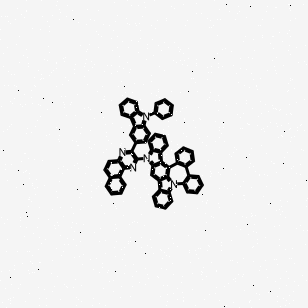 c1ccc(-n2c3ccccc3c3cc(-c4nc5ccc6ccccc6c5nc4-n4c5ccccc5c5c6c7c(cc54)c4ccccc4n7-c4ccccc4-c4ccccc4-6)ccc32)cc1